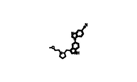 COCCN1CCC[C@@H]1Cc1c[nH]c2ccc(-n3cnc4cc(C#N)ccc43)cc12